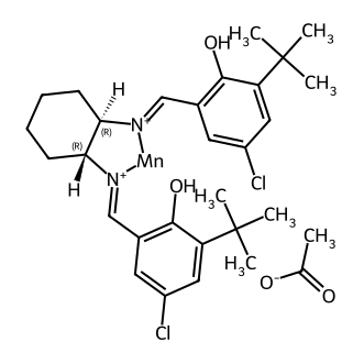 CC(=O)[O-].CC(C)(C)c1cc(Cl)cc(C=[N+]2[Mn][N+](=Cc3cc(Cl)cc(C(C)(C)C)c3O)[C@@H]3CCCC[C@H]32)c1O